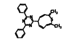 C=C1C=CC(c2nc(-c3ccccc3)nc(-c3ccccc3)n2)/C=C\C=C(/C)S1